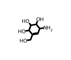 NC1C=C(CO)C(O)C(O)C1O